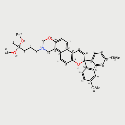 CCO[Si](C)(CCCN1COc2ccc3c4c(ccc3c2C1)OC(c1ccc(OC)cc1)(c1ccc(OC)cc1)C=C4)OCC